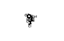 CC1=C(CCCl)C(=O)N2[C@H]1[C@@H](O)[C@@]1(C)CCC(=O)C[C@@H]21